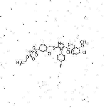 CCOC(=O)NS(=O)(=O)c1ccc(CSc2ncc(C(C)(C)c3ccc(Cl)c(OC)c3)n2-c2ccc(F)cc2)c(Cl)c1